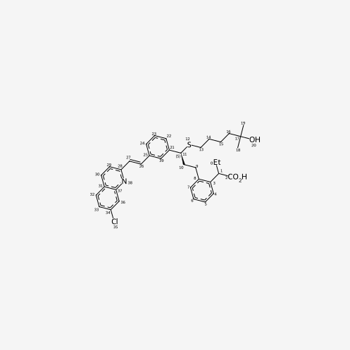 CCC(C(=O)O)c1ccccc1CC[C@H](SCCCCC(C)(C)O)c1cccc(C=Cc2ccc3ccc(Cl)cc3n2)c1